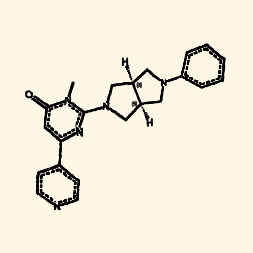 Cn1c(N2C[C@H]3CN(c4ccccc4)C[C@H]3C2)nc(-c2ccncc2)cc1=O